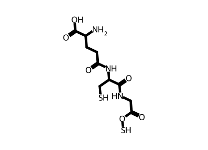 NC(CCC(=O)NC(CS)C(=O)NCC(=O)OS)C(=O)O